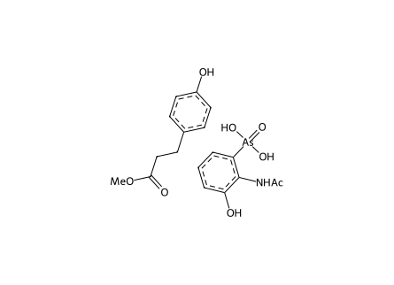 CC(=O)Nc1c(O)cccc1[As](=O)(O)O.COC(=O)CCc1ccc(O)cc1